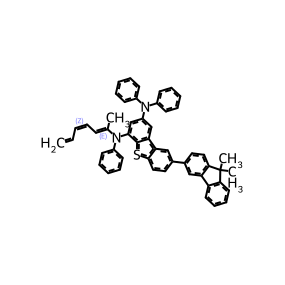 C=C/C=C\C=C(/C)N(c1ccccc1)c1cc(N(c2ccccc2)c2ccccc2)cc2c1sc1ccc(-c3ccc4c(c3)-c3ccccc3C4(C)C)cc12